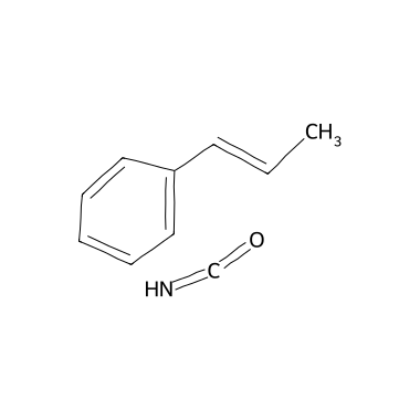 CC=Cc1ccccc1.N=C=O